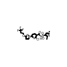 Cc1nn(C)cc1S(=O)(=O)NC(=O)c1ccc(-n2ccc(OCCC(F)(F)F)n2)nc1Cl